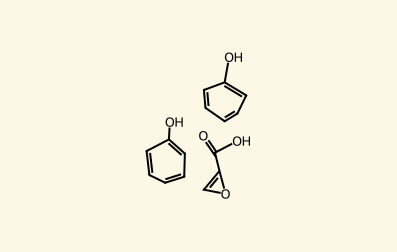 O=C(O)C1=CO1.Oc1ccccc1.Oc1ccccc1